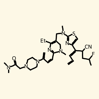 C=C/C=C(/c1csc(N(C)CC2=C(CC)N=C(/C=C\C(=C)N3CCN(CC(=O)N(C)C)CC3)N(C)C2)n1)C(C#N)CC(C)F